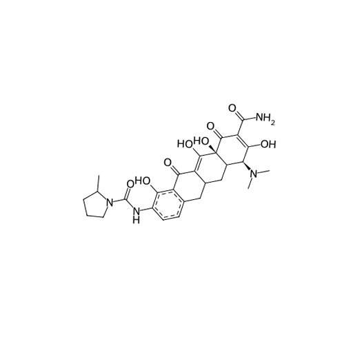 CC1CCCN1C(=O)Nc1ccc2c(c1O)C(=O)C1=C(O)[C@]3(O)C(=O)C(C(N)=O)=C(O)[C@@H](N(C)C)C3CC1C2